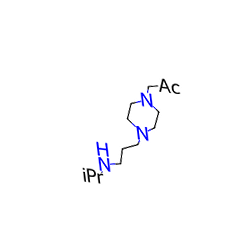 CC(=O)CN1CCN(CCCNC(C)C)CC1